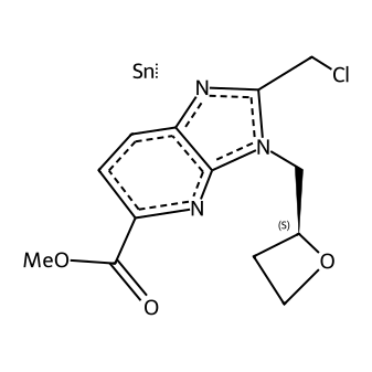 COC(=O)c1ccc2nc(CCl)n(C[C@@H]3CCO3)c2n1.[Sn]